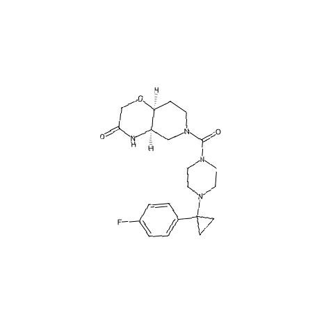 O=C1CO[C@H]2CCN(C(=O)N3CCN(C4(c5ccc(F)cc5)CC4)CC3)C[C@H]2N1